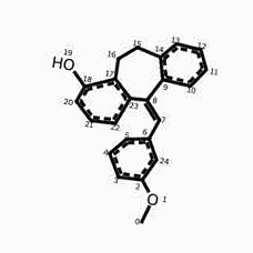 COc1cccc(/C=C2/c3ccccc3CCc3c(O)cccc32)c1